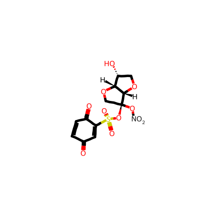 O=C1C=CC(=O)C(S(=O)(=O)O[C@@]2(O[N+](=O)[O-])CO[C@@H]3[C@H](O)CO[C@@H]32)=C1